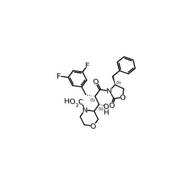 O=C(O)N1CCOCC1[C@@H](O)[C@H](Cc1cc(F)cc(F)c1)C(=O)N1C(=O)OC[C@@H]1Cc1ccccc1